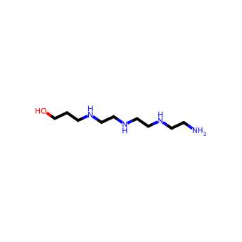 NCCNCCNCCNCCCO